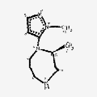 C[C@H]1CNCCN1c1ccnn1C